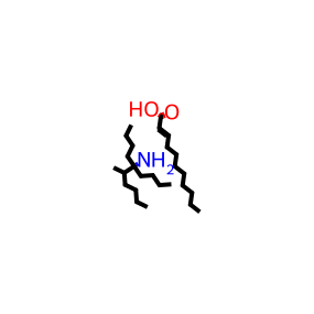 CCCCC(C)C(N)(CCCC)CCCC.CCCCCCCCC=CC(=O)O